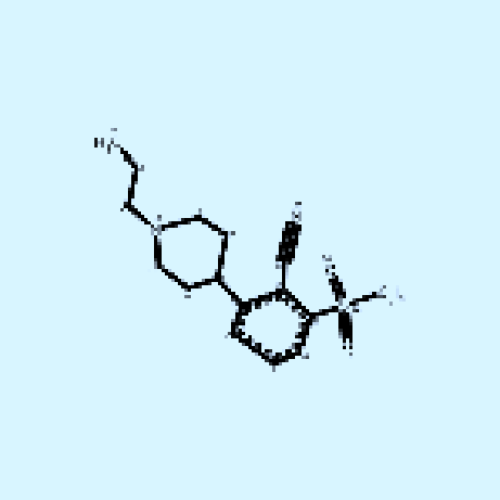 CCCN1CCC(c2cccc(S(C)(=O)=O)c2C#N)CC1